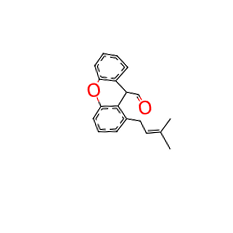 CC(C)=CCc1cccc2c1C(C=O)c1ccccc1O2